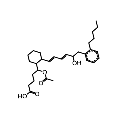 CCCCCc1ccccc1CC(O)/C=C/C=C/C1CCCCC1C(CCCC(=O)O)OC(C)=O